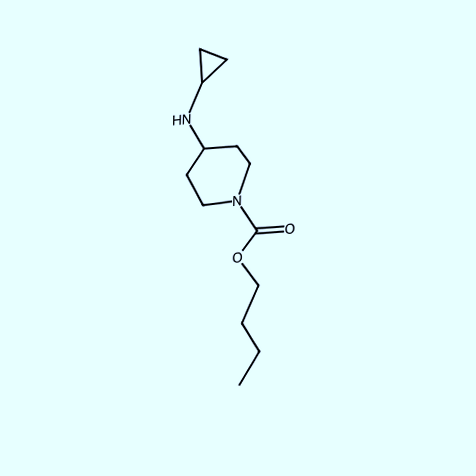 CCCCOC(=O)N1CCC(NC2CC2)CC1